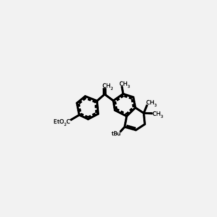 C=C(c1ccc(C(=O)OCC)cc1)c1cc2c(cc1C)C(C)(C)CC=C2C(C)(C)C